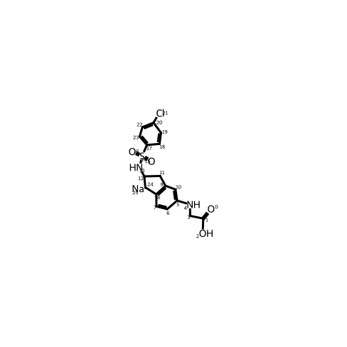 O=C(O)CNc1ccc2c(c1)CC(NS(=O)(=O)c1ccc(Cl)cc1)C2.[Na]